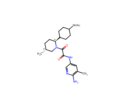 CC(=O)NC1CCC([C@@H]2CC[C@@H](C)CN2C(=O)C(=O)Nc2cnc(N)c(C)c2)CC1